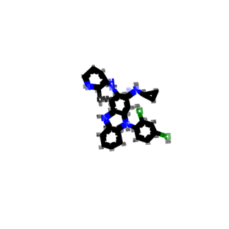 COc1ncccc1Nc1cc2nc3ccccc3n(-c3ccc(Cl)cc3Cl)c-2c/c1=N\C1CC1